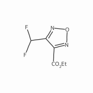 CCOC(=O)c1nonc1C(F)F